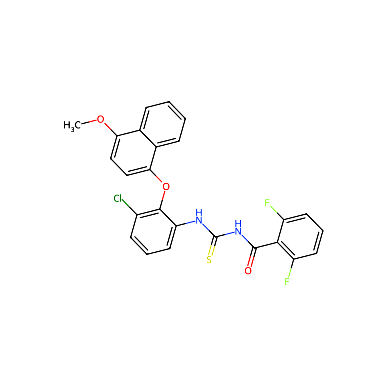 COc1ccc(Oc2c(Cl)cccc2NC(=S)NC(=O)c2c(F)cccc2F)c2ccccc12